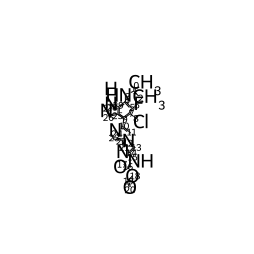 CC(C)Nc1c(F)c(Cl)c(-c2cn3cc(NC(=O)OC=O)nc3cn2)c2cn[nH]c12